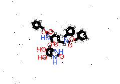 O=C1NC2CC(N1)C(OC1OC(CN(Cc3ccccc3)C(=O)OCc3ccccc3)CCC1NC(=O)OCc1ccccc1)C(O)C2O